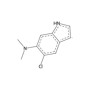 CN(C)c1cc2[nH]c[c]c2cc1Cl